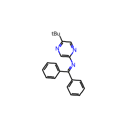 CC(C)(C)c1cnc(N=C(c2ccccc2)c2ccccc2)cn1